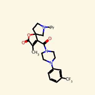 CC1=C(C(=O)N2CCN(c3cccc(C(F)(F)F)c3)CC2)C2(CCN(C(C)C)C2)OC1=O